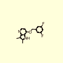 Cc1[nH]c2c(OCc3cc(F)cc(F)c3)ccnc2c1C